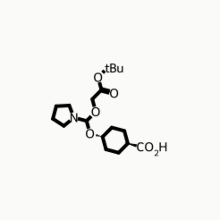 CC(C)(C)OC(=O)COC(O[C@H]1CC[C@H](C(=O)O)CC1)N1CCCC1